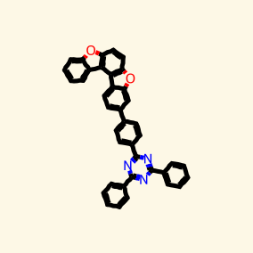 c1ccc(-c2nc(-c3ccccc3)nc(-c3ccc(-c4ccc5c(c4)oc4ccc6oc7ccccc7c6c45)cc3)n2)cc1